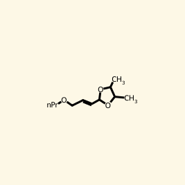 CCCOCC=CC1OC(C)C(C)O1